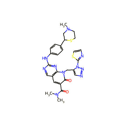 CN1CCSC(c2ccc(Nc3ncc4cc(C(=O)N(C)C)c(=O)n(Cc5cnnn5-c5nccs5)c4n3)cc2)C1